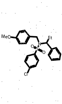 CCC(c1ccccc1)N(Cc1ccc(OC)cc1)S(=O)(=O)c1ccc(Cl)cc1